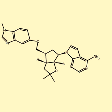 Cn1cnc2cc(OC[C@H]3C[C@@H](n4ccc5c(N)ncnc54)[C@@H]4OC(C)(C)C[C@H]34)ccc21